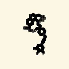 COc1ccc2ncc(CN)c([C@@H](O)CCC3(CC(=O)O)CCN(CC#Cc4cc(F)c(F)c(F)c4)CC3)c2c1